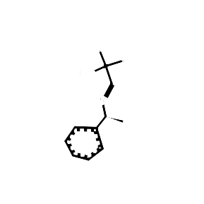 C[C@H](N=CC(C)(C)C)c1ccccc1